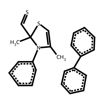 CC1=CSC(C)(C=S)N1c1ccccc1.c1ccc(-c2ccccc2)cc1